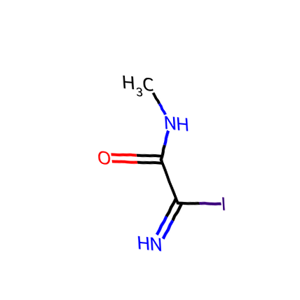 CNC(=O)C(=N)I